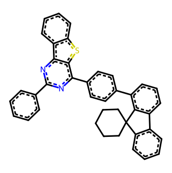 c1ccc(-c2nc(-c3ccc(-c4cccc5c4C4(CCCCC4)c4ccccc4-5)cc3)c3sc4ccccc4c3n2)cc1